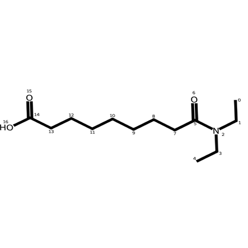 CCN(CC)C(=O)CCCCCCCC(=O)O